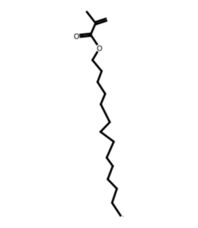 [CH2]CCCCCCCCCCCCCOC(=O)C(=C)C